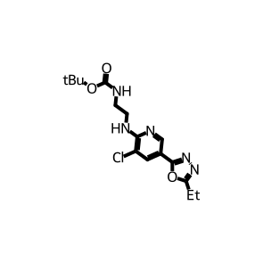 CCc1nnc(-c2cnc(NCCNC(=O)OC(C)(C)C)c(Cl)c2)o1